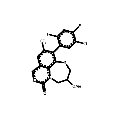 COC1CSc2c(-c3cc(Cl)c(F)cc3F)c(C(F)(F)F)cc3cnc(=O)n(c23)C1